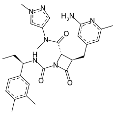 CC[C@@H](NC(=O)N1C(=O)[C@H](Cc2cc(C)nc(N)c2)[C@H]1C(=O)N(C)c1cnn(C)c1)c1ccc(C)c(C)c1